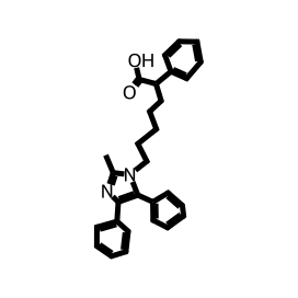 Cc1nc(-c2ccccc2)c(-c2ccccc2)n1CCCCCC(C(=O)O)c1ccccc1